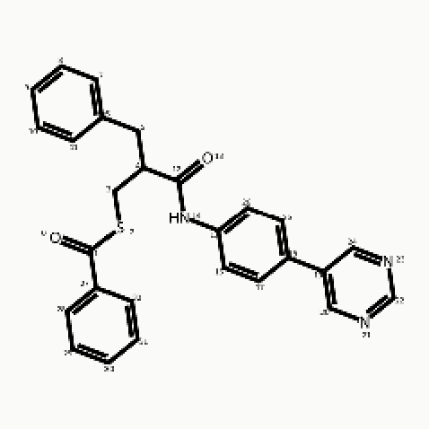 O=C(SCC(Cc1ccccc1)C(=O)Nc1ccc(-c2cncnc2)cc1)c1ccccc1